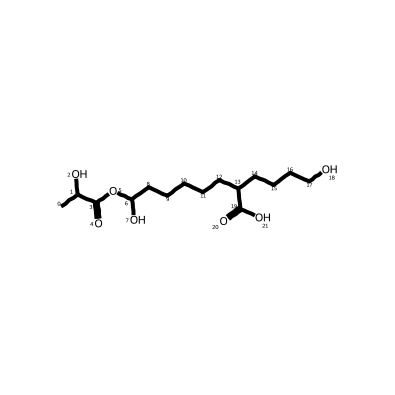 CC(O)C(=O)OC(O)CCCCCC(CCCCO)C(=O)O